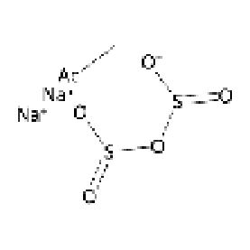 CC(C)=O.O=S([O-])OS(=O)[O-].[Na+].[Na+]